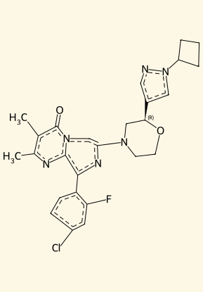 Cc1nc2c(-c3ccc(Cl)cc3F)nc(N3CCO[C@H](c4cnn(C5CCC5)c4)C3)cn2c(=O)c1C